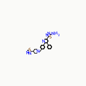 Nc1nnc(-c2cnc(-c3ccc(CN4CCC(c5nncs5)CC4)cc3)c(-c3ccccc3)c2)s1